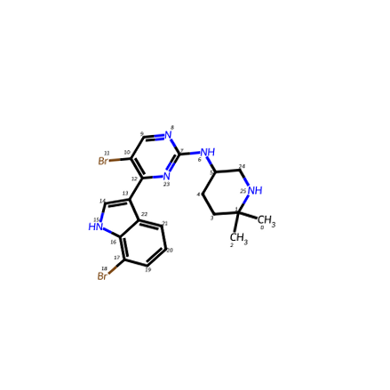 CC1(C)CCC(Nc2ncc(Br)c(-c3c[nH]c4c(Br)cccc34)n2)CN1